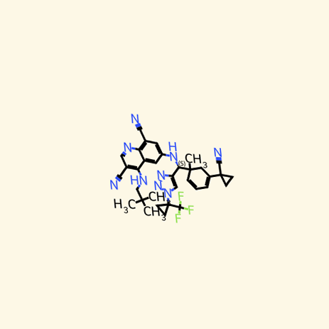 CC(C)(C)CNc1c(C#N)cnc2c(C#N)cc(N[C@H](c3cn(C4(C(F)(F)F)CC4)nn3)C3(C)C=CC=C(C4(C#N)CC4)C3)cc12